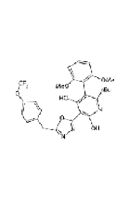 CCCCc1nc(O)c(-c2nnc(Cc3ccc(OC(F)(F)F)cc3)o2)c(O)c1-c1c(OC)cccc1OC